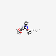 CCOC(=O)Cc1ccccc1OCc1nn(-c2ccccc2)c2ccc(B3OC(C)(C)C(C)(C)O3)cc12